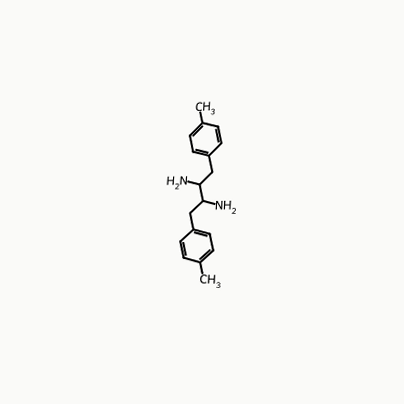 Cc1ccc(CC(N)C(N)Cc2ccc(C)cc2)cc1